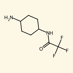 NC1CCC(NC(=O)C(F)(F)F)CC1